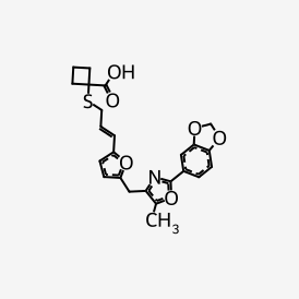 Cc1oc(-c2ccc3c(c2)OCO3)nc1Cc1ccc(/C=C/CSC2(C(=O)O)CCC2)o1